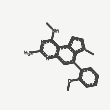 CNc1nc(N)nc2cc(-c3ccccc3OC)c3c(ccn3C)c12